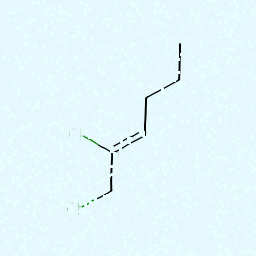 CCC/C=C(\Cl)CCl